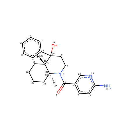 Nc1ccc(C(=O)N2CCC(O)(c3ccccc3)[C@H]3CCCC[C@@H]32)cn1